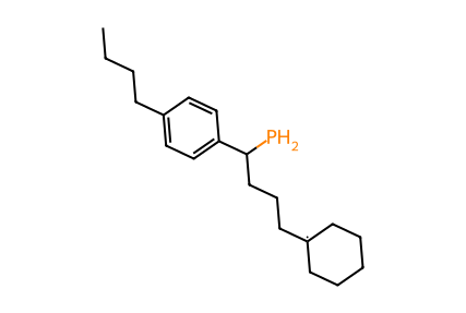 CCCCc1ccc(C(P)CCC[C]2CCCCC2)cc1